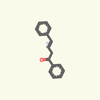 O=C(C/[C]=C/c1ccccc1)c1ccccc1